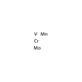 [Cr].[Mn].[Mo].[V]